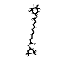 CC1(C)CC(OC(=O)CC/C=C/CCCCC(=O)OC2CC(C)(C)NC(C)(C)C2)CC(C)(C)N1